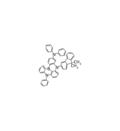 CC1(C)c2ccccc2-c2cc(N3c4cc(N(c5ccccc5)c5ccccc5)ccc4B4c5ccccc5N(c5ccccc5)c5cccc3c54)ccc21